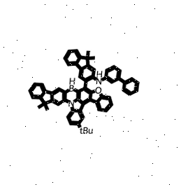 CC(C)(C)c1ccc2c(c1)c1c3c(oc4ccccc43)c(-c3cc4c(cc3Nc3cccc(-c5ccccc5)c3)C(C)(C)c3ccccc3-4)c3c1n2-c1cc2c(cc1B3)-c1ccccc1C2(C)C